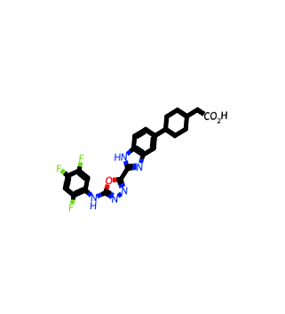 O=C(O)CC1CCC(c2ccc3[nH]c(-c4nnc(Nc5cc(F)c(F)cc5F)o4)nc3c2)CC1